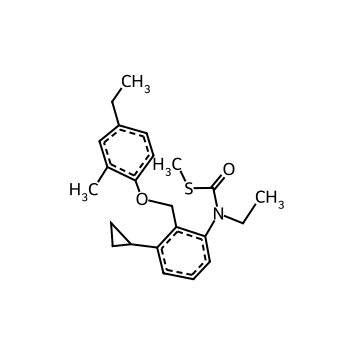 CCc1ccc(OCc2c(C3CC3)cccc2N(CC)C(=O)SC)c(C)c1